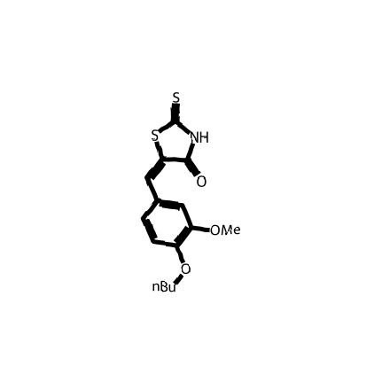 CCCCOc1ccc(C=C2SC(=S)NC2=O)cc1OC